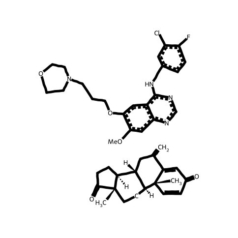 C=C1C[C@@H]2[C@H](CC[C@]3(C)C(=O)CC[C@@H]23)[C@@]2(C)C=CC(=O)C=C12.COc1cc2ncnc(Nc3ccc(F)c(Cl)c3)c2cc1OCCCN1CCOCC1